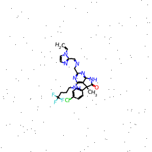 C=Cn1ccnc1/C=N\Cc1nc(NCCCC(F)(F)F)c2c(n1)NC(=O)C2(C)c1ccc(Cl)cc1